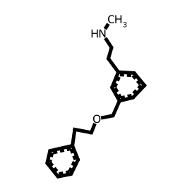 CNCCc1cccc(COCCc2ccccc2)c1